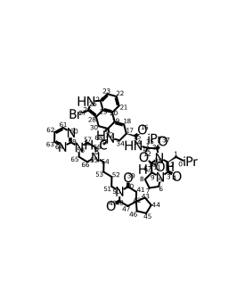 CC(C)C[C@H]1C(=O)N2CCC[C@H]2[C@]2(O)O[C@](NC(=O)[C@@H]3C=C4c5cccc6[nH]c(Br)c(c56)C[C@H]4N(C)C3)(C(C)C)C(=O)N12.O=C1CC2(CCCC2)CC(=O)N1CCCCN1CCN(c2ncccn2)CC1